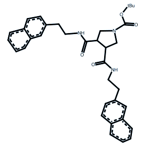 CC(C)(C)OC(=O)N1CC(C(=O)NCCc2ccc3ccccc3c2)C(C(=O)NCCc2ccc3ccccc3c2)C1